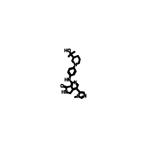 Cn1cncc1-c1cnc(Nc2ccc(N3CCCC(C(C)(C)O)C3)cc2)c2c1CNC2=O